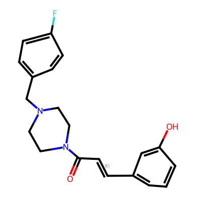 O=C(/C=C/c1cccc(O)c1)N1CCN(Cc2ccc(F)cc2)CC1